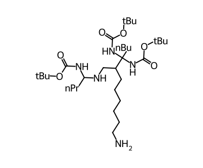 CCCCC(NC(=O)OC(C)(C)C)(NC(=O)OC(C)(C)C)C(CCCCCCN)CNC(CCC)NC(=O)OC(C)(C)C